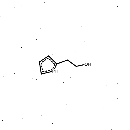 OCCc1ccc[pH]1